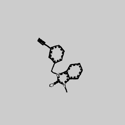 C#Cc1cccc(Cn2c(=O)n(C)c3ccccc32)c1